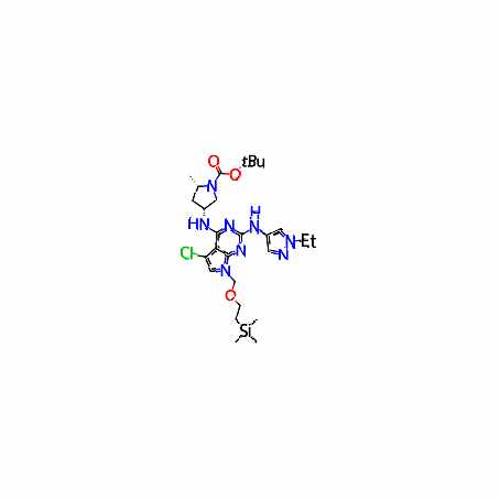 CCn1cc(Nc2nc(N[C@@H]3C[C@H](C)N(C(=O)OC(C)(C)C)C3)c3c(Cl)cn(COCC[Si](C)(C)C)c3n2)cn1